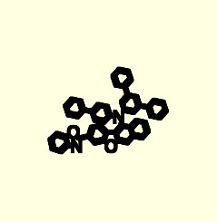 c1ccc(-c2ccc(N(c3cc(-c4ccccc4)cc(-c4ccccc4)c3)c3c4ccccc4cc4oc5cc(-c6nc7ccccc7o6)ccc5c34)cc2)cc1